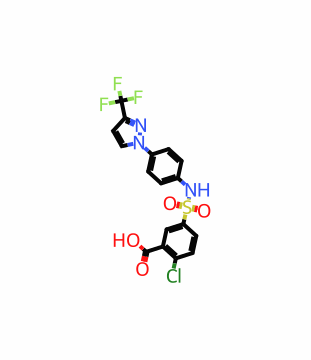 O=C(O)c1cc(S(=O)(=O)Nc2ccc(-n3ccc(C(F)(F)F)n3)cc2)ccc1Cl